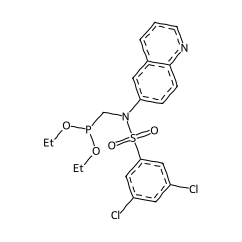 CCOP(CN(c1ccc2ncccc2c1)S(=O)(=O)c1cc(Cl)cc(Cl)c1)OCC